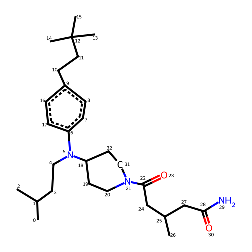 CC(C)CCN(c1ccc(CCC(C)(C)C)cc1)C1CCN(C(=O)CC(C)CC(N)=O)CC1